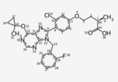 C[C@H](CCOc1ccc(-c2nc3c(OC4(C)CC4)ncnc3n2Cc2ccccc2F)c(Cl)c1)C(=O)O